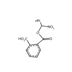 CCCC(OC(=O)c1ccccc1C(=O)O)[N+](=O)[O-]